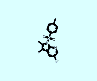 Cc1ccc(S(=O)(=O)n2c(C)c(I)c3cc(Br)cnc32)cc1